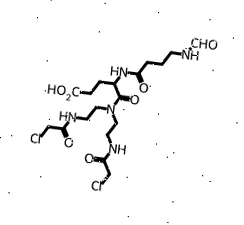 O=CNCCCC(=O)NC(CCC(=O)O)C(=O)N(CCNC(=O)CCl)CCNC(=O)CCl